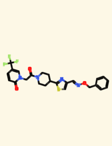 O=C(Cn1cc(C(F)(F)F)ccc1=O)N1CCC(c2nc(C=NOCc3ccccc3)cs2)CC1